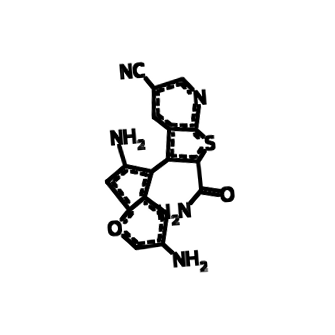 N#Cc1cnc2sc(C(N)=O)c(-c3c(N)cc4occ(N)cc3-4)c2c1